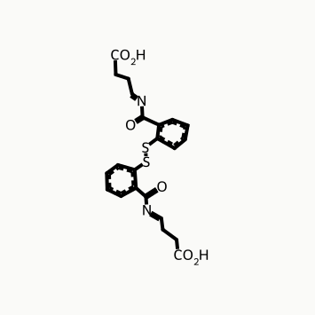 O=C(O)CCC=NC(=O)c1ccccc1SSc1ccccc1C(=O)N=CCCC(=O)O